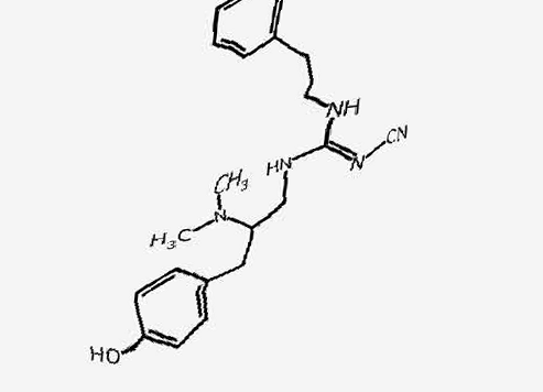 CN(C)C(CN/C(=N/C#N)NCCc1ccccc1)Cc1ccc(O)cc1